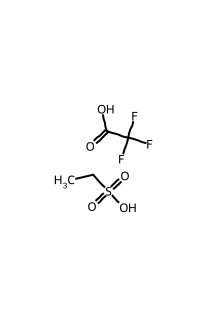 CCS(=O)(=O)O.O=C(O)C(F)(F)F